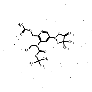 C=C1OB(c2cnc(COC(C)=O)c(N(CC)C(=O)OC(C)(C)C)c2)OC1(C)C